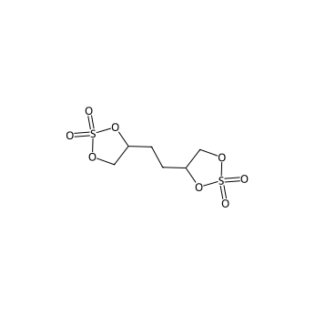 O=S1(=O)OCC(CCC2COS(=O)(=O)O2)O1